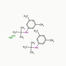 Br.Cc1cc(C)cc(PC(C)(C)C)c1.Cc1cc(C)cc(PC(C)(C)C)c1.Cl